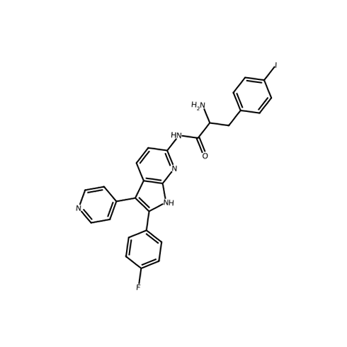 NC(Cc1ccc(I)cc1)C(=O)Nc1ccc2c(-c3ccncc3)c(-c3ccc(F)cc3)[nH]c2n1